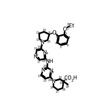 CCOc1ccccc1O[C@@H]1CCCN(c2cncc(Nc3nccc(N4CCCC(C)(C(=O)O)C4)n3)n2)C1